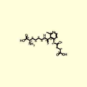 Cc1nccc(SC(=O)CCC(=O)O)c1C(=S)NCCCC[C@@H](N)C(=O)O